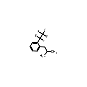 CC(C)[CH]c1ccccc1C(F)(F)C(F)(F)F